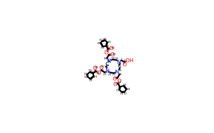 O=C(O)CN1CCN(CC(=O)OC(=O)c2ccccc2)CCN(CC(=O)OC(=O)c2ccccc2)CCN(CC(=O)OC(=O)c2ccccc2)CC1